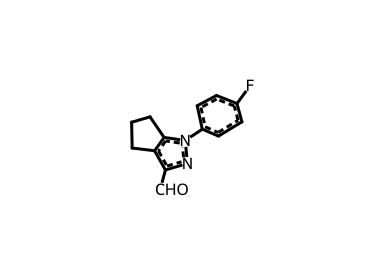 O=Cc1nn(-c2ccc(F)cc2)c2c1CCC2